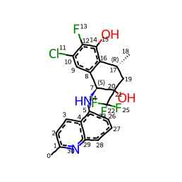 Cc1ccc2c(N[C@H]3c4cc(Cl)c(F)c(O)c4[C@H](C)CC3(O)C(F)(F)F)cccc2n1